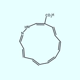 O=C(O)C1=C\N\N=C/C=C/C=C/C=C\C=C/C=C/1